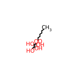 CCCCCCCC(=O)OC(O)[C@@H](O)[C@@H](O)CO